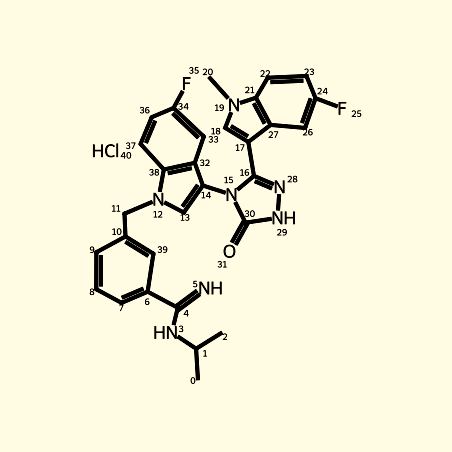 CC(C)NC(=N)c1cccc(Cn2cc(-n3c(-c4cn(C)c5ccc(F)cc45)n[nH]c3=O)c3cc(F)ccc32)c1.Cl